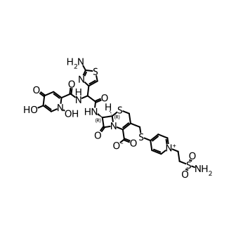 Nc1nc(C(NC(=O)c2cc(=O)c(O)cn2O)C(=O)N[C@@H]2C(=O)N3C(C(=O)[O-])=C(CSc4cc[n+](CCS(N)(=O)=O)cc4)CS[C@H]23)cs1